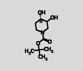 CC(C)(C)OC(=O)N1CC[C@H](O)C(O)C1